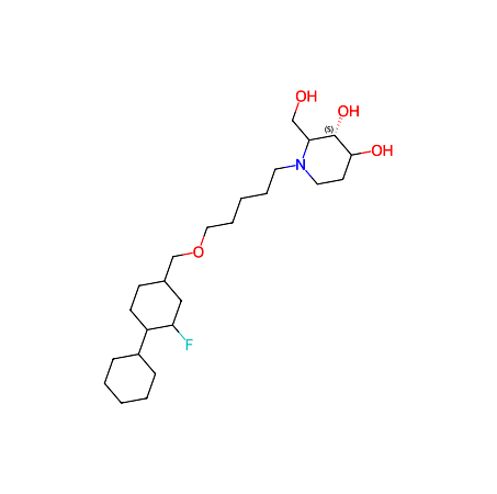 OCC1[C@H](O)C(O)CCN1CCCCCOCC1CCC(C2CCCCC2)C(F)C1